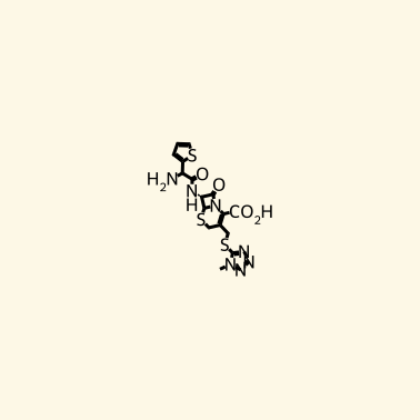 Cn1nnnc1SCC1=C(C(=O)O)N2C(=O)[C@@H](NC(=O)C(N)c3cccs3)C2SC1